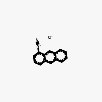 N#[N+]c1cccc2cc3ccccc3cc12.[Cl-]